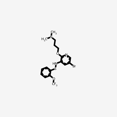 CN(C)CCCOc1ncc(Br)cc1NSc1ccccc1OC(F)(F)F